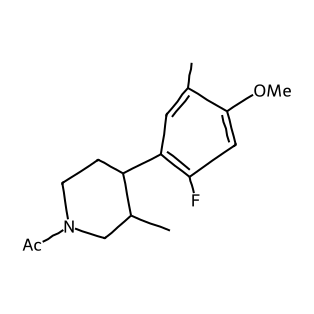 COc1cc(F)c(C2CCN(C(C)=O)CC2C)cc1C